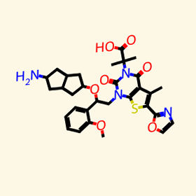 COc1ccccc1C(Cn1c(=O)n(C(C)(C)C(=O)O)c(=O)c2c(C)c(-c3ncco3)sc21)OC1CC2CC(N)CC2C1